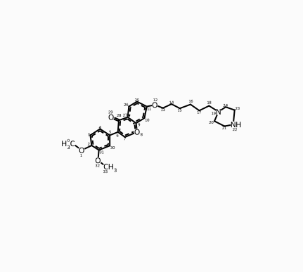 COc1ccc(-c2coc3cc(OCCCCCCN4CCNCC4)ccc3c2=O)cc1OC